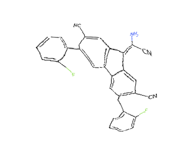 N#CC(N)=C1c2cc(C#N)c(-c3ccccc3F)cc2-c2cc(-c3ccccc3F)c(C#N)cc21